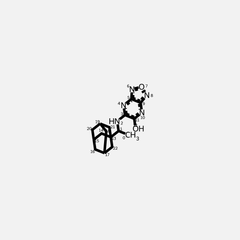 CC(Nc1nc2nonc2nc1O)C12CC3CC(CC(C3)C1)C2